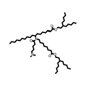 CCCCCCCCCCC(CCCCC=CC(=O)OCCC(CCCCC)CCCCC)N(CCCCCCCC(=O)OCCC(CCCCC)CCCCC)C(=O)CCCCN(C)C